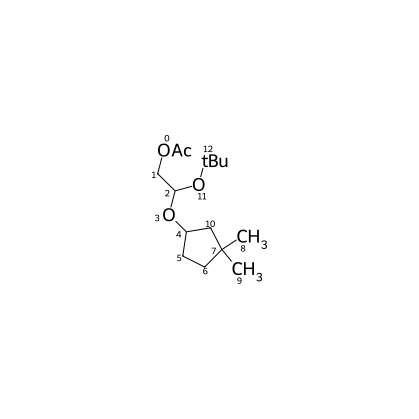 CC(=O)OCC(OC1CCC(C)(C)C1)OC(C)(C)C